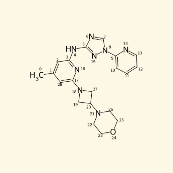 Cc1cc(Nc2ncn(-c3ccccn3)n2)nc(N2CC(N3CCOCC3)C2)c1